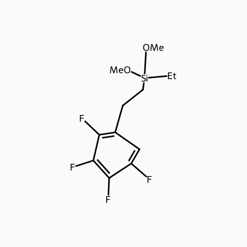 CC[Si](CCc1cc(F)c(F)c(F)c1F)(OC)OC